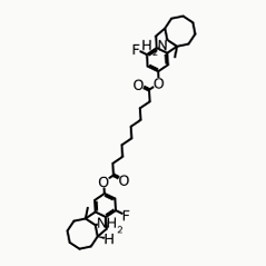 CC12CCCCCC(Cc3c(F)cc(OC(=O)CCCCCCCCC(=O)Oc4cc(F)c5c(c4)C4(C)CCCCC[C@@H](C5)C4N)cc31)C2N